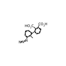 Cc1c(N=[N+]=[N-])cccc1-c1cccc(C(=O)O)c1C(=O)O